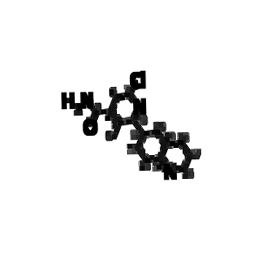 Cc1c(C(N)=O)cc(Cl)nc1-c1ccc2ncccc2c1